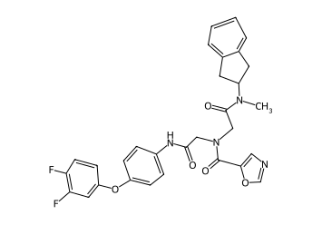 CN(C(=O)CN(CC(=O)Nc1ccc(Oc2ccc(F)c(F)c2)cc1)C(=O)c1cnco1)C1Cc2ccccc2C1